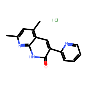 Cc1cc(C)c2cc(-c3ccccn3)c(=O)[nH]c2n1.Cl